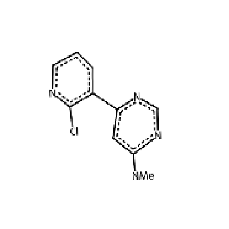 CNc1cc(-c2cccnc2Cl)ncn1